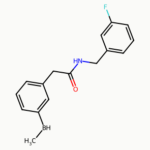 CBc1cccc(CC(=O)NCc2cccc(F)c2)c1